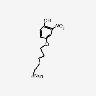 CCCCCCCCCCCCCCOc1ccc(O)c([N+](=O)[O-])c1